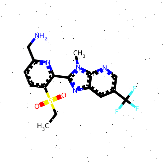 CCS(=O)(=O)c1ccc(CN)nc1-c1nc2cc(C(F)(F)F)cnc2n1C